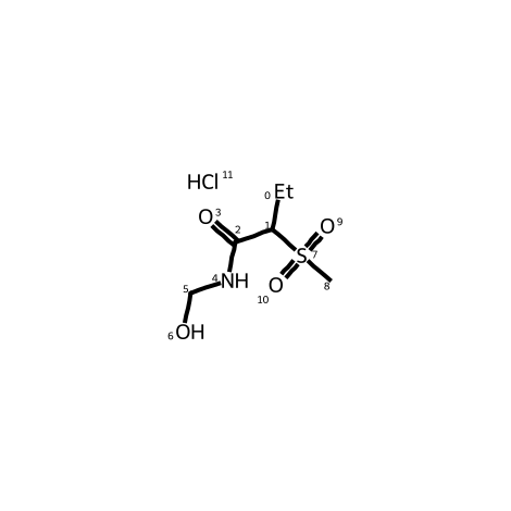 CCC(C(=O)NCO)S(C)(=O)=O.Cl